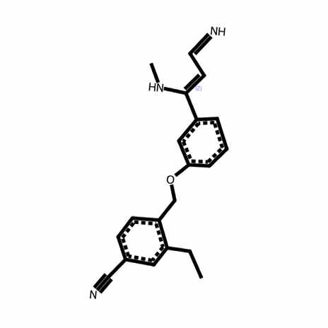 CCc1cc(C#N)ccc1COc1cccc(/C(=C/C=N)NC)c1